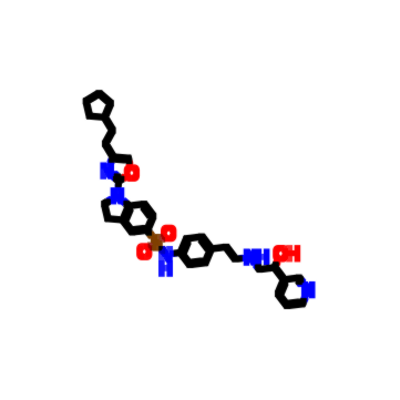 O=S(=O)(Nc1ccc(CCNCC(O)c2cccnc2)cc1)c1ccc2c(c1)CCN2c1nc(CCC2CCCC2)co1